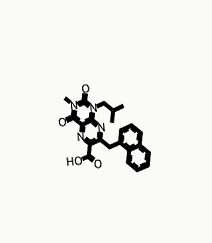 CC(C)Cn1c(=O)n(C)c(=O)c2nc(C(=O)O)c(Cc3cccc4ccccc34)nc21